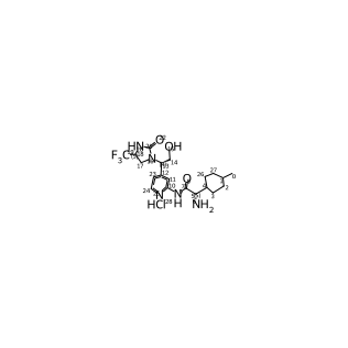 CC1CCC([C@H](N)C(=O)Nc2cc([C@H](CO)N3C[C@@H](C(F)(F)F)NC3=O)ccn2)CC1.Cl